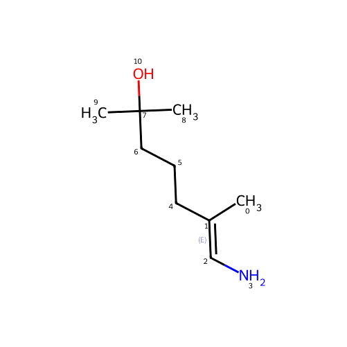 C/C(=C\N)CCCC(C)(C)O